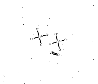 [O-][Cl+3]([O-])([O-])[O-].[O-][Cl+3]([O-])([O-])[O-].[O]=[V+2]